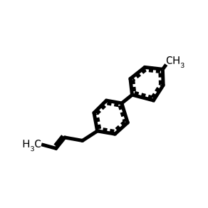 CC=CCc1ccc(-c2ccc(C)cc2)cc1